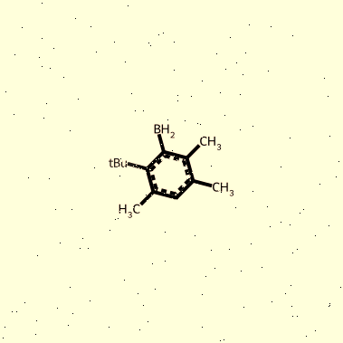 Bc1c(C)c(C)cc(C)c1C(C)(C)C